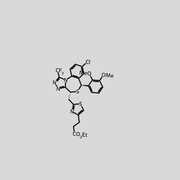 CCOC(=O)CCc1csc(C[C@H]2S[C@H](c3cccc(OC)c3OC)c3cc(Cl)ccc3-n3c2nnc3C(F)(F)F)n1